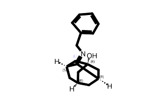 O[C@@]12C[C@H]3C[C@H](C1)/C(=N/Cc1ccccc1)[C@@H](C3)C2